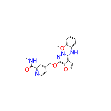 CNC(=O)c1cc(COc2nnc(Nc3ccccc3OC)c3ccoc23)ccn1